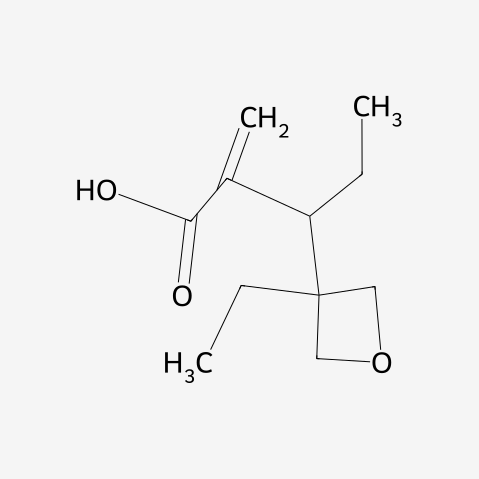 C=C(C(=O)O)C(CC)C1(CC)COC1